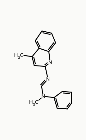 Cc1cc(N=CN(C)c2ccccc2)nc2ccccc12